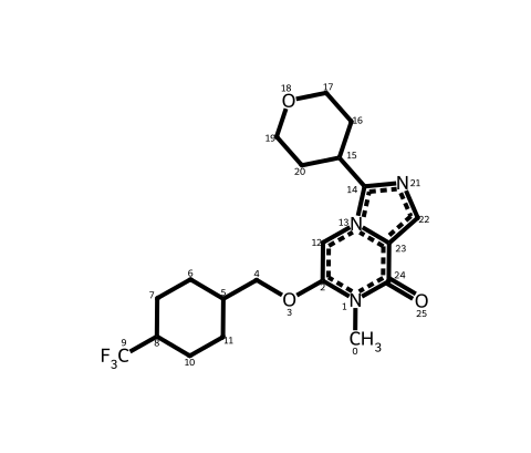 Cn1c(OCC2CCC(C(F)(F)F)CC2)cn2c(C3CCOCC3)ncc2c1=O